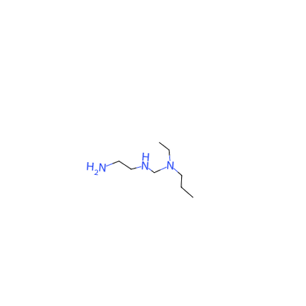 CCCN(CC)CNCCN